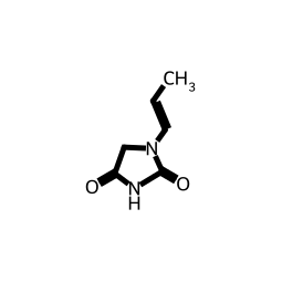 CC=CN1CC(=O)NC1=O